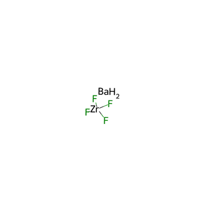 [BaH2].[F][Zr]([F])([F])[F]